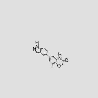 Cc1cc(-c2ccc3[nH]ncc3c2)cc2c1OCC(=O)N2